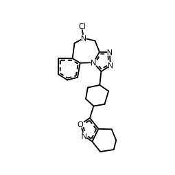 ClN1Cc2ccccc2-n2c(nnc2C2CCC(c3onc4c3CCCC4)CC2)C1